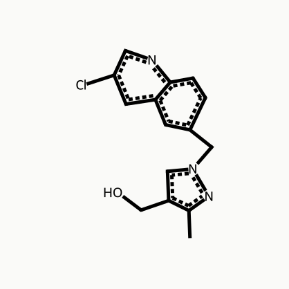 Cc1nn(Cc2ccc3ncc(Cl)cc3c2)cc1CO